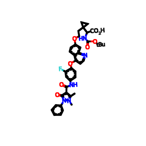 Cc1c(C(=O)Nc2ccc(Oc3ccnc4cc(OCCC5(C(NC(=O)OC(C)(C)C)C(=O)O)CC5)ccc34)c(F)c2)c(=O)n(-c2ccccc2)n1C